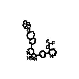 FC(F)Oc1cccnc1-c1ccc(-c2n[nH]c3ncc(-c4ccc5c(c4)CC[C@@H](N4C6COCC4C6)CC5)cc23)cc1